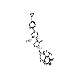 CC[C@@H](CO[C@@H]1CCN([C@@H]2CCN(c3ncc(C4CC4)cn3)C[C@H]2O)C1=O)Nc1cn[nH]c(=O)c1C(F)(F)F